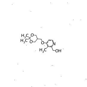 Cc1c(OCC2COC(C)(C)OC2)ccnc1CO